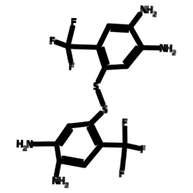 Nc1cc(SSc2cc(N)c(N)cc2C(F)(F)F)c(C(F)(F)F)cc1N